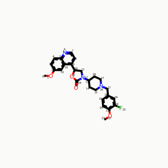 COc1ccc2nccc(C3CN(C4CCN(Cc5ccc(OC)c(F)c5)CC4)C(=O)O3)c2c1